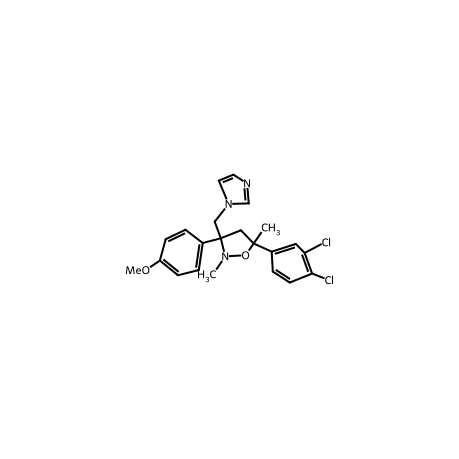 COc1ccc(C2(Cn3ccnc3)CC(C)(c3ccc(Cl)c(Cl)c3)ON2C)cc1